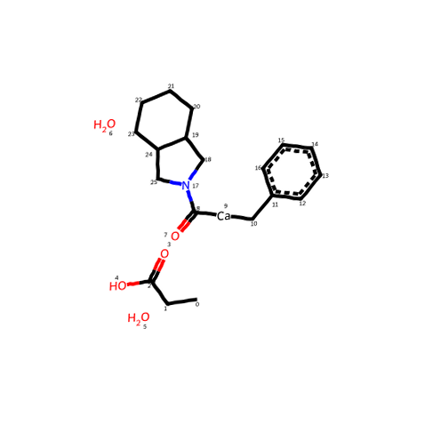 CCC(=O)O.O.O.O=[C]([Ca][CH2]c1ccccc1)N1CC2CCCCC2C1